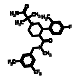 Cc1cc(F)ccc1C1CN(C(C)(C)C(N)=O)CCC1C(=O)N(C)Cc1cc(C(F)(F)F)cc(C(F)(F)F)c1